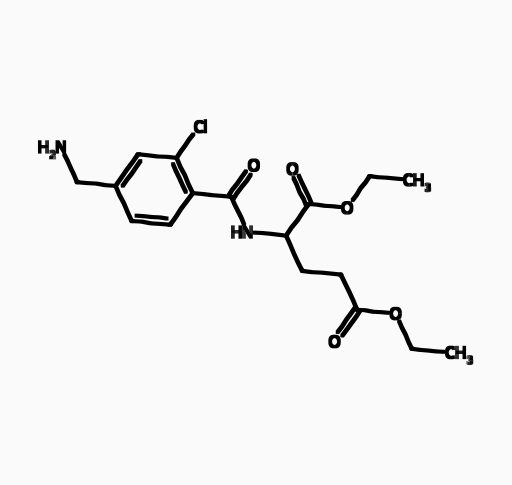 CCOC(=O)CCC(NC(=O)c1ccc(CN)cc1Cl)C(=O)OCC